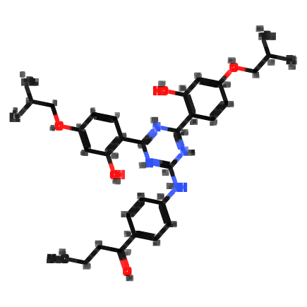 CCCCC(CC)COc1ccc(-c2nc(Nc3ccc(C(=O)CCOC)cc3)nc(-c3ccc(OCC(CC)CCCC)cc3O)n2)c(O)c1